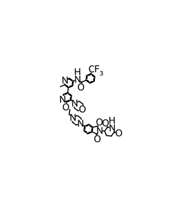 Cc1ncc(NC(=O)c2cccc(C(F)(F)F)c2)cc1-c1cnc(OCCN2CCN(c3ccc4c(c3)C(=O)N(C3CCC(=O)NC3=O)C4=O)CC2)c(N2CCOCC2)c1